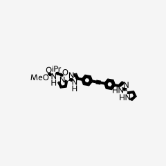 COC(=O)NC(C(=O)N1CCC[C@H]1c1ncc(-c2ccc(C#Cc3ccc(-c4cnc([C@@H]5CCCN5)[nH]4)cc3)cc2)[nH]1)C(C)C